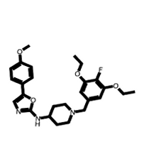 CCOc1cc(CN2CCC(Nc3ncc(-c4ccc(OC)cc4)o3)CC2)cc(OCC)c1F